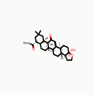 COC(=O)[C@@H]1CC(C)(C)C[C@@H]2C1CC[C@]1(C)[C@@H]2C(=O)C=C2[C@@]3(C)CC[C@@]4(O)OCC[C@@]4(C)[C@@H]3CC[C@]21C